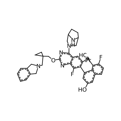 C#Cc1c(F)ccc2cc(O)cc(-c3c(C(C)C)cc4c(N5CC6CCC(C5)N6)nc(OCC5(CN6Cc7ccccc7C6)CC5)nc4c3F)c12